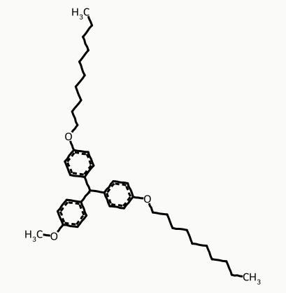 CCCCCCCCCCOc1ccc([C](c2ccc(OC)cc2)c2ccc(OCCCCCCCCCC)cc2)cc1